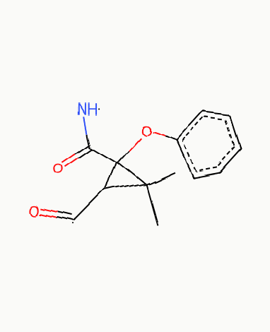 CC1(C)C([C]=O)C1(Oc1ccccc1)C([NH])=O